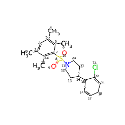 Cc1cc(C)c(C)c(S(=O)(=O)N2CCC(C3C=CCC=C3Cl)CC2)c1C